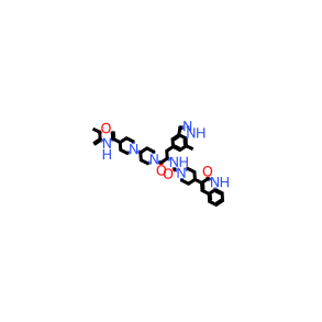 C=C(NC(=C)C1CCN(C2CCN(C(=O)C(Cc3cc(C)c4[nH]ncc4c3)NC(=O)N3CCC(c4cc5ccccc5[nH]c4=O)CC3)CC2)CC1)C(C)=O